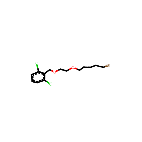 Clc1cccc(Cl)c1COCCOCCCCCBr